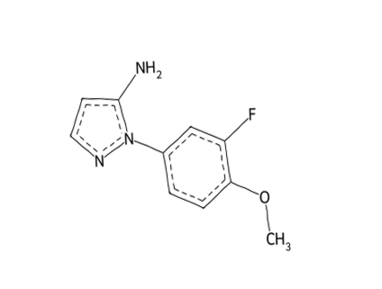 COc1ccc(-n2nccc2N)cc1F